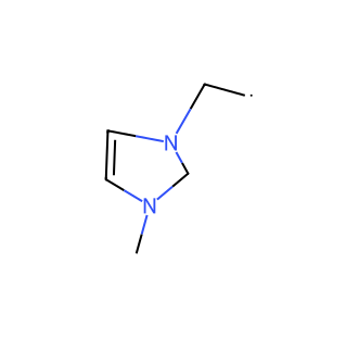 [CH2]CN1C=CN(C)C1